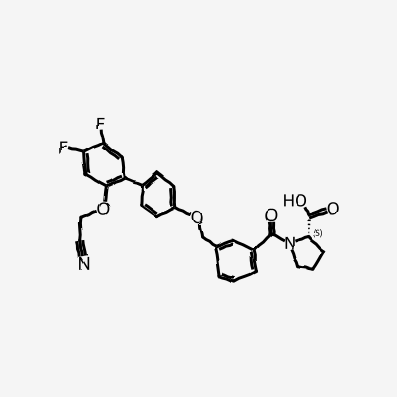 N#CCOc1cc(F)c(F)cc1-c1ccc(OCc2cccc(C(=O)N3CCC[C@H]3C(=O)O)c2)cc1